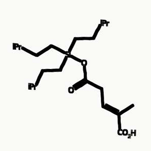 CC(=CCC(=O)O[Si](CCC(C)C)(CCC(C)C)CCC(C)C)C(=O)O